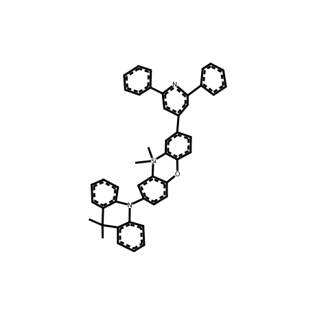 CC1(C)c2ccccc2N(c2ccc3c(c2)[Si](C)(C)c2cc(-c4cc(-c5ccccc5)nc(-c5ccccc5)c4)ccc2O3)c2ccccc21